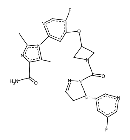 Cc1nc(C(N)=O)c(C)n1-c1cc(OC2CN(C(=O)N3N=CC[C@H]3c3cncc(F)c3)C2)c(F)cn1